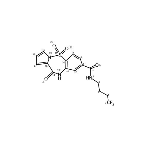 O=C(NCCCC(F)(F)F)c1ccc2c(c1)NC(=O)c1cccn1S2(=O)=O